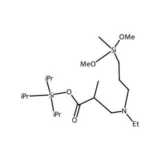 CCN(CCC[Si](C)(OC)OC)CC(C)C(=O)O[Si](C(C)C)(C(C)C)C(C)C